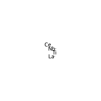 [Ce].[La].[Nb].[Ti]